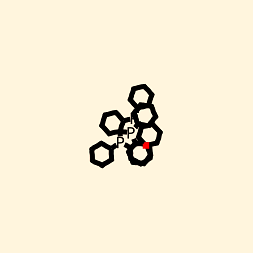 C1CCC(P(C2CCCCC2)C2CCCCC2(P(C2CCCCC2)C2CCCCC2)P(C2CCCCC2)C2CCCCC2)CC1